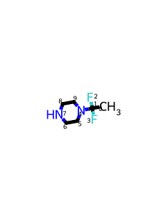 CC(F)(F)N1CCNCC1